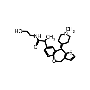 CC(C(=O)NCCO)c1ccc2c(c1)C(=C1CCN(C)CC1)c1sccc1CO2